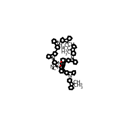 CC1(C)c2ccccc2-c2ccc(-n3c4ccccc4c4cc(-c5ccc6c(c5)c5ccccc5n6-c5cc(-n6c7ccccc7c7cc(-c8ccc9c(c8)c8ccccc8n9-c8ccc9c(c8)C(C)(C)c8ccccc8-9)ccc76)c6c(-n7c8ccccc8c8cc(-c9ccc%10c(c9)c9ccccc9n%10-c9ccc%10c(c9)C(C)(C)c9ccccc9-%10)ccc87)ccnc6c5)ccc43)cc21